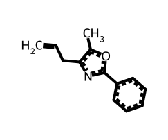 C=CCc1nc(-c2ccccc2)oc1C